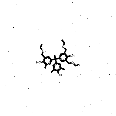 CCOCc1cc(C(C)(c2cc(C)c(O)c(C)c2)c2cc(COCC)c(O)c(COCC)c2)cc(C)c1O